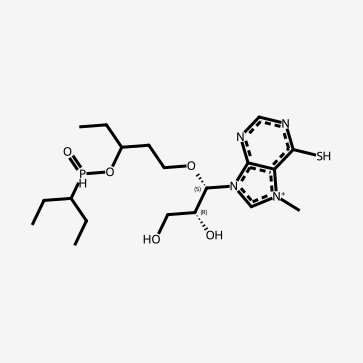 CCC(CCO[C@@H]([C@H](O)CO)n1c[n+](C)c2c(S)ncnc21)O[PH](=O)C(CC)CC